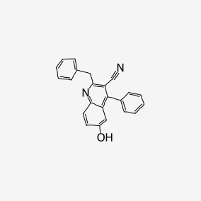 N#Cc1c(Cc2ccccc2)nc2ccc(O)cc2c1-c1ccccc1